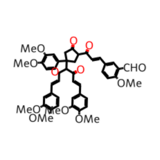 COc1ccc(/C=C/C(=O)C2CC(c3ccc(OC)c(OC)c3)(C(C(=O)/C=C/c3ccc(OC)c(OC)c3)C(=O)/C=C/c3ccc(OC)c(OC)c3)CC2=O)cc1C=O